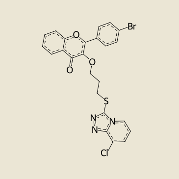 O=c1c(OCCCSc2nnc3c(Cl)cccn23)c(-c2ccc(Br)cc2)oc2ccccc12